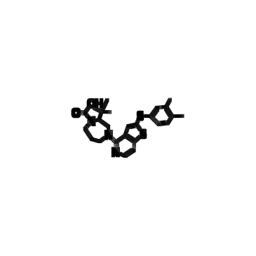 Cc1ccc(Sc2cc3c(N4CCCN(C(=O)O)C(C(C)(C)C)C4)nccc3s2)cc1C